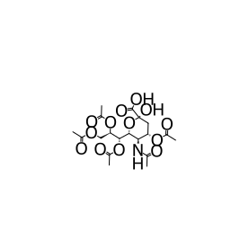 CC(=O)N[C@H]1[C@H]([C@H](OC(C)=O)[C@@H](COC(C)=O)OC(C)=O)O[C@](O)(C(=O)O)C[C@@H]1OC(C)=O